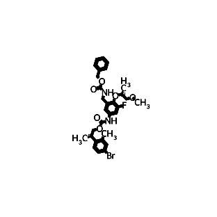 COC[C@H](C)Oc1c(F)cc(NC(=O)OC[C@H](C)c2ccc(Br)cc2C)cc1CNC(=O)OCc1ccccc1